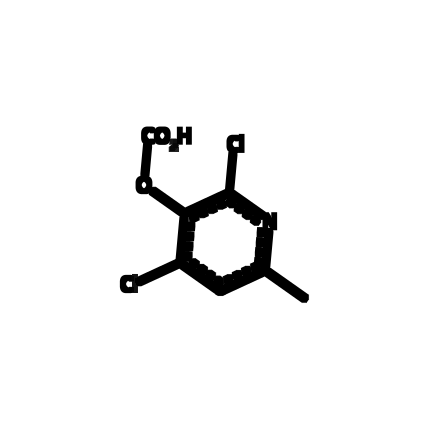 Cc1cc(Cl)c(OC(=O)O)c(Cl)n1